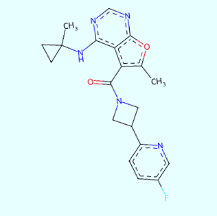 Cc1oc2ncnc(NC3(C)CC3)c2c1C(=O)N1CC(c2ccc(F)cn2)C1